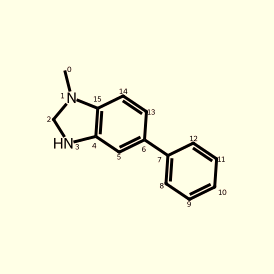 CN1CNc2cc(-c3ccccc3)ccc21